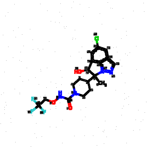 CC1(C2CCN(C(=O)NOCC(F)(F)F)CC2)[C@H](O)c2cc(Cl)cc3cnn1c23